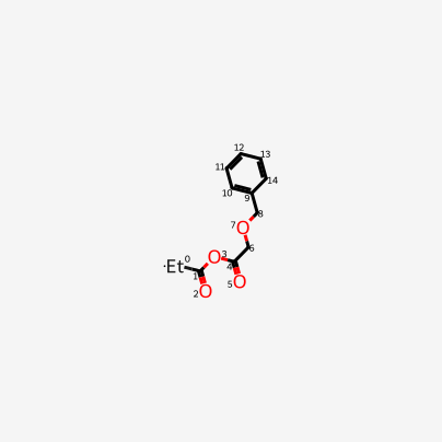 C[CH]C(=O)OC(=O)COCc1ccccc1